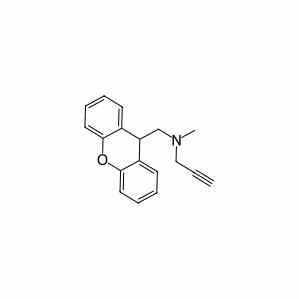 C#CCN(C)CC1c2ccccc2Oc2ccccc21